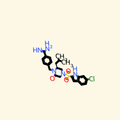 CC(C)C[C@H]1CN(S(=O)(=O)c2cc3ccc(Cl)cc3[nH]2)CC(=O)N1Cc1ccc(C(=N)N)cc1